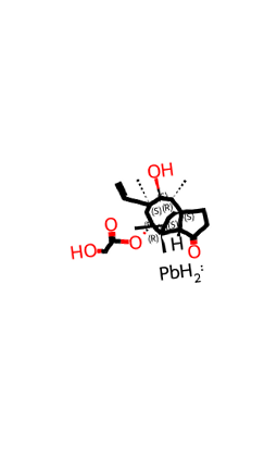 C=C[C@]1(C)C[C@@H](OC(=O)CO)[C@]2(C)[C@H](C)CC[C@]3(CCC(=O)[C@@H]32)[C@@H](C)[C@@H]1O.[PbH2]